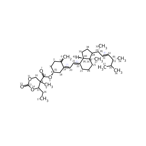 C=C1CC[C@H](OC(=O)C2(C)COC(=O)OC2CC)C/C1=C/C=C1\CCC[C@]2(C)C([C@H](C)/C=C/[C@H](C)C(C)C)CC[C@@H]12